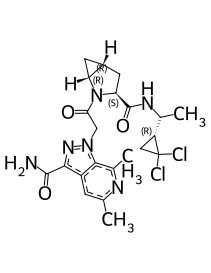 Cc1cc2c(C(N)=O)nn(CC(=O)N3[C@@H]4C[C@@H]4C[C@H]3C(=O)NC(C)[C@H]3CC3(Cl)Cl)c2c(C)n1